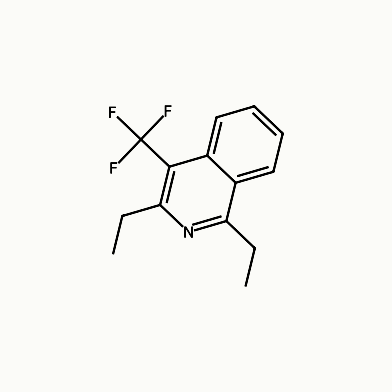 CCc1nc(CC)c2ccccc2c1C(F)(F)F